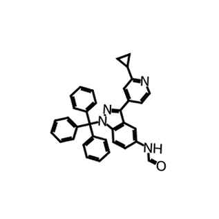 O=CNc1ccc2c(c1)c(-c1ccnc(C3CC3)c1)nn2C(c1ccccc1)(c1ccccc1)c1ccccc1